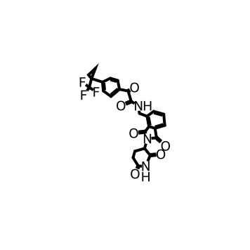 O=C1CCC(N2C(=O)c3cccc(CNC(=O)C(=O)c4ccc(C5(C(F)(F)F)CC5)cc4)c3C2=O)C(=O)N1